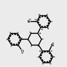 Clc1ccccc1C1CC(c2ccccc2Br)CC(c2ccccc2Br)C1